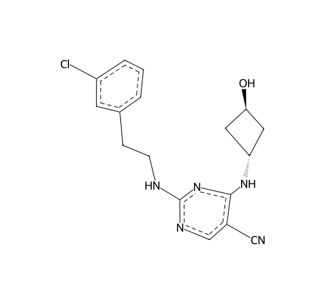 N#Cc1cnc(NCCc2cccc(Cl)c2)nc1N[C@H]1C[C@H](O)C1